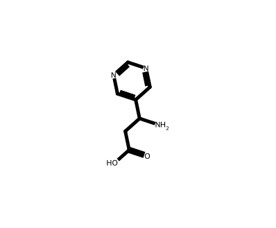 NC(CC(=O)O)c1cncnc1